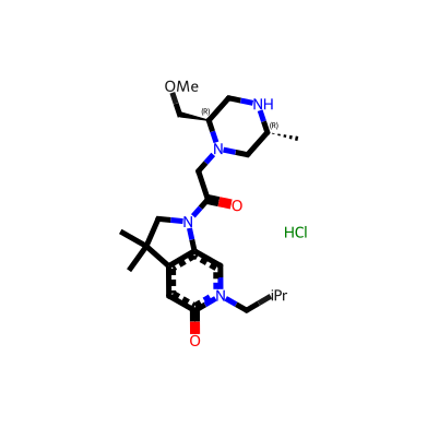 COC[C@H]1CN[C@H](C)CN1CC(=O)N1CC(C)(C)c2cc(=O)n(CC(C)C)cc21.Cl